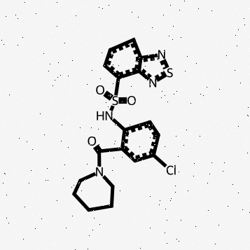 O=C(c1cc(Cl)ccc1NS(=O)(=O)c1cccc2nsnc12)N1CCCCC1